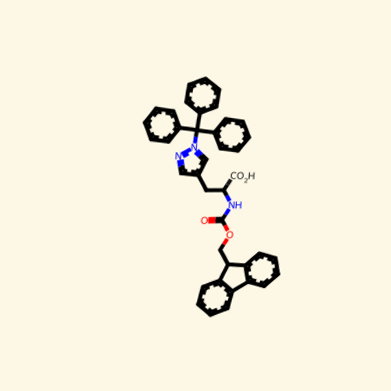 O=C(NC(Cc1cnn(C(c2ccccc2)(c2ccccc2)c2ccccc2)c1)C(=O)O)OCC1c2ccccc2-c2ccccc21